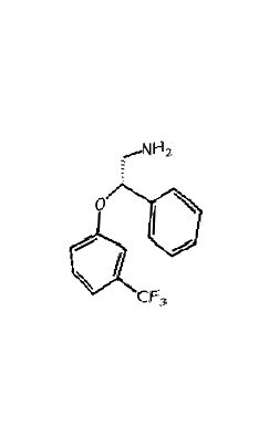 NC[C@@H](Oc1cccc(C(F)(F)F)c1)c1ccccc1